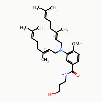 COc1ccc(C(=O)NCCCO)cc1N(C/C=C(\C)CCC=C(C)C)C/C=C(\C)CCC=C(C)C